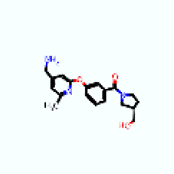 Cc1cc(CN)cc(Oc2cccc(C(=O)N3CC[C@@H](CO)C3)c2)n1